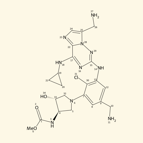 COC(=O)N[C@@H]1CN(c2cc(CN)cc(Nc3nc(NC4CC4)c4ncc(CN)n4n3)c2Cl)C[C@H]1O